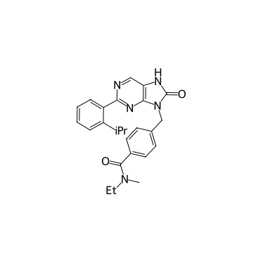 CCN(C)C(=O)c1ccc(Cn2c(=O)[nH]c3cnc(-c4ccccc4C(C)C)nc32)cc1